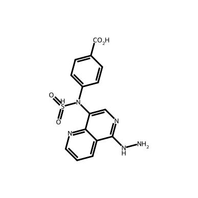 NNc1ncc(N(c2ccc(C(=O)O)cc2)[SH](=O)=O)c2ncccc12